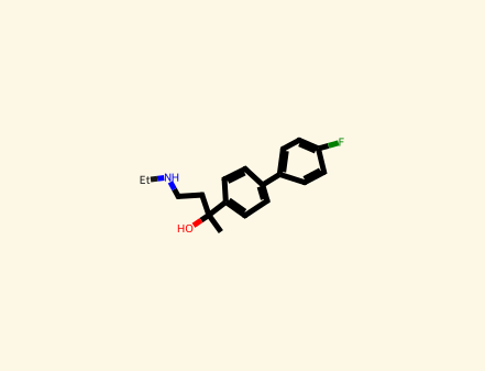 CCNCCC(C)(O)c1ccc(-c2ccc(F)cc2)cc1